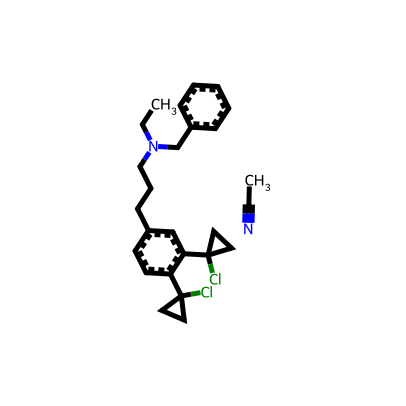 CC#N.CCN(CCCc1ccc(C2(Cl)CC2)c(C2(Cl)CC2)c1)Cc1ccccc1